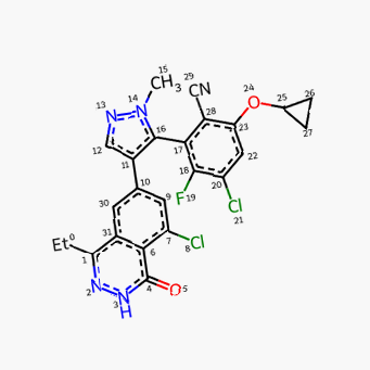 CCc1n[nH]c(=O)c2c(Cl)cc(-c3cnn(C)c3-c3c(F)c(Cl)cc(OC4CC4)c3C#N)cc12